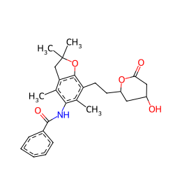 Cc1c(CCC2CC(O)CC(=O)O2)c2c(c(C)c1NC(=O)c1ccccc1)CC(C)(C)O2